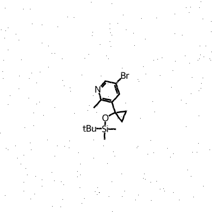 Cc1ncc(Br)cc1C1(O[Si](C)(C)C(C)(C)C)CC1